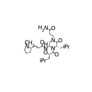 CC(C)C[C@H]1ON(C(=O)/C=C/C2CCCN2C)[C@H]2CN(CCC(N)=O)C(=O)[C@H](CC(C)C)N2C1=O